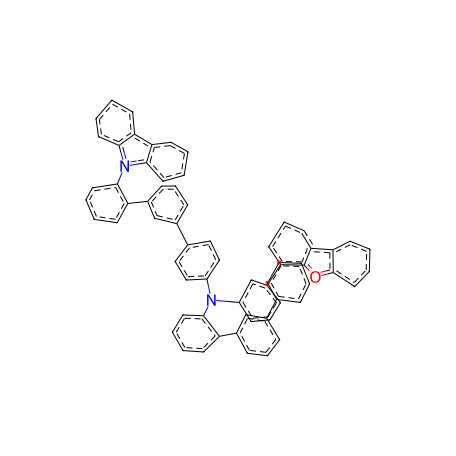 c1ccc(-c2cccc(-c3ccccc3N(c3ccc(-c4cccc(-c5ccccc5-n5c6ccccc6c6ccccc65)c4)cc3)c3cccc(-c4cccc5c4oc4ccccc45)c3)c2)cc1